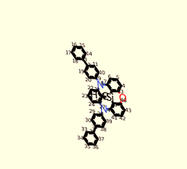 C[Si]12c3c4cccc3N(c3ccc(-c5ccccc5)cc3)c3cccc(c31)N(c1ccc(-c3ccccc3)cc1)c1cccc(c12)O4